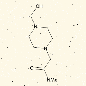 CNC(=O)CN1CCN(CO)CC1